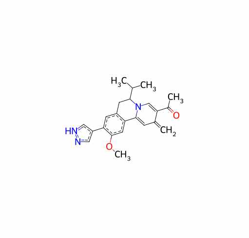 C=C1C=C2c3cc(OC)c(-c4cn[nH]c4)cc3CC(C(C)C)N2C=C1C(C)=O